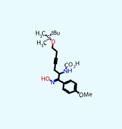 COc1ccc(C(=NO)C(CC#CCCO[Si](C)(C)C(C)(C)C)NC(=O)O)cc1